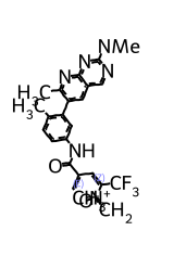 C=[N+]([O-])/C(=C\C(=C/C)C(=O)Nc1ccc(C)c(-c2cc3cnc(NC)nc3nc2C)c1)C(F)(F)F